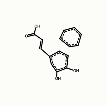 O=C(O)C=Cc1ccc(O)c(O)c1.c1ccccc1